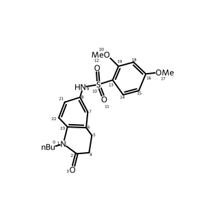 CCCCN1C(=O)CCc2cc(NS(=O)(=O)c3ccc(OC)cc3OC)ccc21